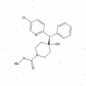 CC(C)(C)OC(=O)N1CCC(O)([C@H](c2ccccc2)c2ccc(Cl)cn2)CC1